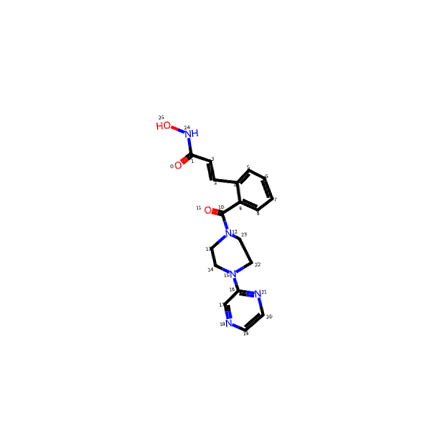 O=C(C=Cc1ccccc1C(=O)N1CCN(c2cnccn2)CC1)NO